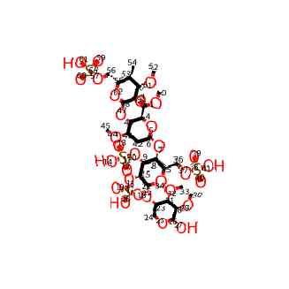 COC(=O)[C@H]1O[C@@H](O[C@H]2[C@H](OS(=O)(=O)O)[C@@H](OS(=O)(=O)O)[C@@H](O[C@@H]3CO[C@@H](O)[C@H](OC)[C@H]3OC)O[C@@H]2COS(=O)(=O)O)C[C@@H](OC)[C@@H]1O[C@@H]1C[C@@H](OC)[C@H](C)[C@@H](COS(=O)(=O)O)O1